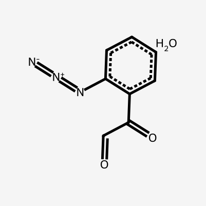 O.[N-]=[N+]=Nc1ccccc1C(=O)C=O